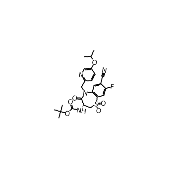 CC(C)Oc1ccc(CN2C(=O)[C@@H](NC(=O)OC(C)(C)C)CS(=O)(=O)c3cc(F)c(C#N)cc32)nc1